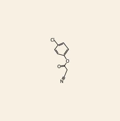 N#CCC(=O)Oc1ccc(Cl)cc1